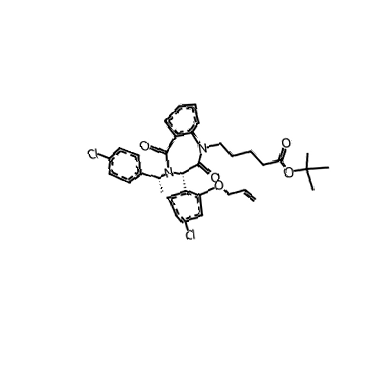 C=CCOc1cc(Cl)ccc1[C@H]1C(=O)N(CCCCC(=O)OC(C)(C)C)c2ccccc2C(=O)N1[C@H](C)c1ccc(Cl)cc1